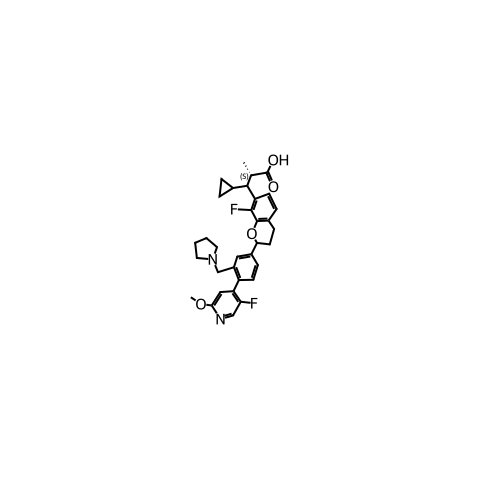 COc1cc(-c2ccc(C3CCc4ccc(C(C5CC5)[C@H](C)C(=O)O)c(F)c4O3)cc2CN2CCCC2)c(F)cn1